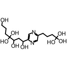 OCCCC(O)(O)C(O)CC(O)c1cnc(CCCC(O)(O)O)cn1